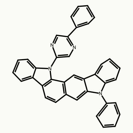 c1ccc(-c2cnc(-n3c4ccccc4c4ccc5cc6c(cc5c43)c3ccccc3n6-c3ccccc3)cn2)cc1